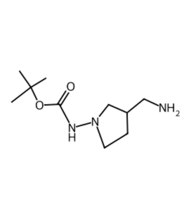 CC(C)(C)OC(=O)NN1CCC(CN)C1